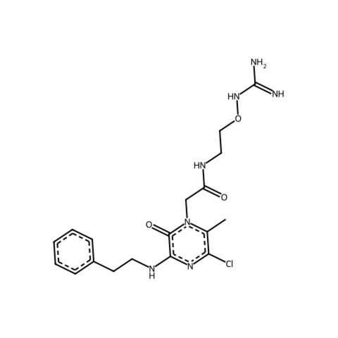 Cc1c(Cl)nc(NCCc2ccccc2)c(=O)n1CC(=O)NCCONC(=N)N